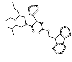 CCOC(CN(CCC(C)C)C(=O)C(NC(=O)OCC1c2ccccc2-c2ccccc21)c1ccccc1)OCC